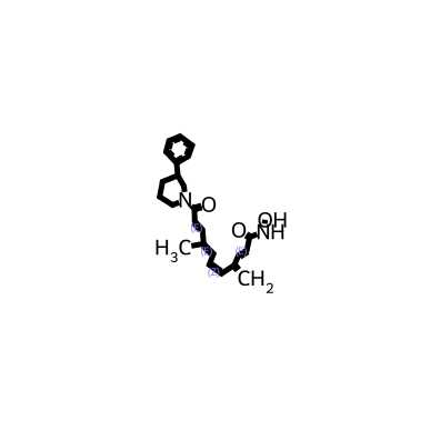 C=C(\C=C/C=C(C)/C=C/C(=O)N1CCCC(c2ccccc2)C1)/C=C/C(=O)NO